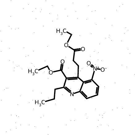 CCCc1nc2cccc([N+](=O)[O-])c2c(CCC(=O)OCC)c1C(=O)OCC